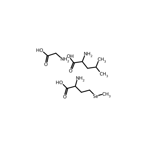 CC(C)CC(N)C(=O)O.C[Se]CCC(N)C(=O)O.NCC(=O)O